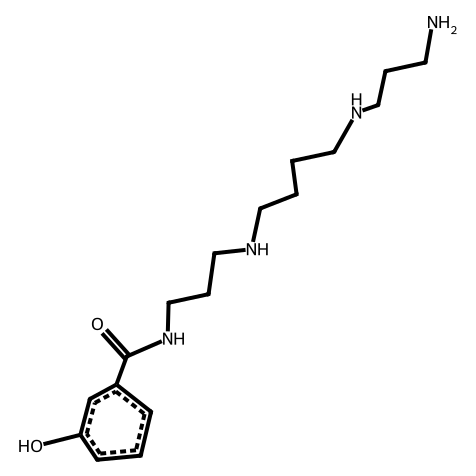 NCCCNCCCCNCCCNC(=O)c1cccc(O)c1